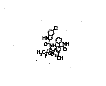 C#C[C@@H]1C[C@@]2(CN1C(=O)[C@H](CC(C)(C)F)NC(=O)c1cc3cc(Cl)ccc3[nH]1)C(=O)Nc1ccccc12